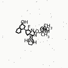 CC(C)(COc1nc(N2C[C@H]3CC[C@@H](C2)N3)c2ccc(-c3cc(O)cc4ccccc34)c(F)c2n1)NS(C)(=O)=O